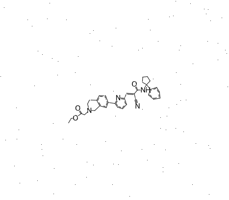 CCOC(=O)CN1CCc2ccc(-c3cccc(/C=C(\C#N)C(=O)NC4(c5ccccc5)CCCC4)n3)cc2C1